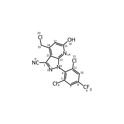 N#Cc1nn(-c2c(Cl)cc(C(F)(F)F)cc2Cl)c2nc(O)cc(CCl)c12